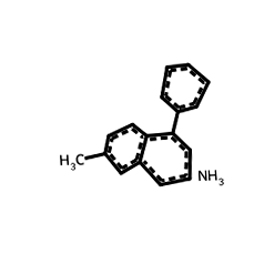 Cc1ccc2c(-c3ccccc3)cccc2c1.N